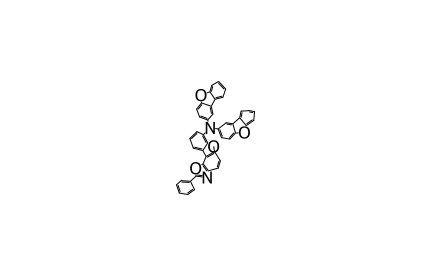 c1ccc(-c2nc3ccc4oc5c(N(c6ccc7oc8ccccc8c7c6)c6ccc7oc8ccccc8c7c6)cccc5c4c3o2)cc1